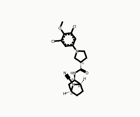 COc1c(Cl)cc(N2CC[C@H](C(=O)N[C@@H]3C[C@@H]4CC[C@H]3N4C#N)C2)cc1Cl